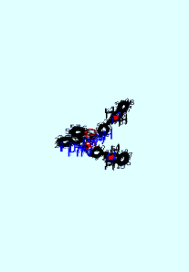 O=C(NC1CCC(CCN2[C@@H]3CC[C@H]2c2ccccc23)CC1)N[C@H](c1ccccc1)[C@H](NC(=O)NC1CCC(CCN2[C@@H]3CC[C@H]2c2ccccc23)CC1)c1ccccc1